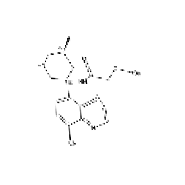 C[C@@H]1CNC[C@](NC(=O)COC(C)(C)C)(c2ccc(C#N)c3nccnc23)C1